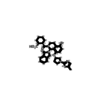 Cc1cnc(N2CC[C@H](Oc3ccc(Br)c4c3[C@@H](N3Cc5ccccc5C3=O)N(C(=O)[C@@H]3CCCC[C@@H]3C(=O)O)CC4)C2)s1